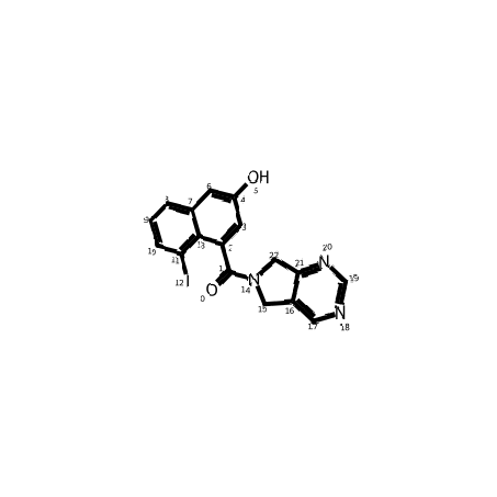 O=C(c1cc(O)cc2cccc(I)c12)N1Cc2cncnc2C1